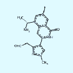 C[C@@H](N)c1cc(F)cc2c(=O)[nH]c(-c3cn(C)nc3CC=O)cc12